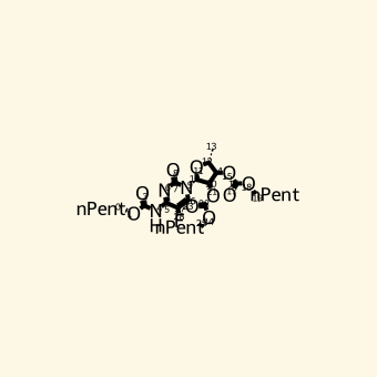 CCCCCOC(=O)Nc1nc(=O)n([C@@H]2O[C@H](C)C(OC(=O)OCCCCC)C2OC(=O)OCCCCC)cc1F